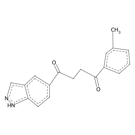 Cc1cccc(C(=O)CCC(=O)c2ccc3[nH]ncc3c2)c1